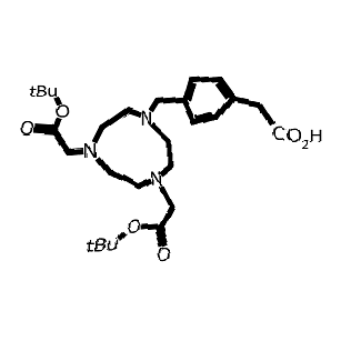 CC(C)(C)OC(=O)CN1CCN(CC(=O)OC(C)(C)C)CCN(Cc2ccc(CC(=O)O)cc2)CC1